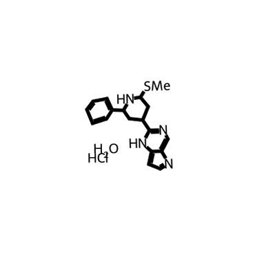 CSC1CC(c2ncc3nccc-3[nH]2)CC(c2ccccc2)N1.Cl.O